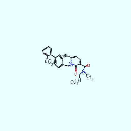 CCCCc1ccc(C(=O)N(C)CC(=O)O)c(=O)n1Cc1ccc(-c2ccccc2C(=O)O)cc1